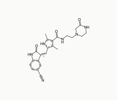 Cc1[nH]c(/C=C2\C(=O)Nc3ccc(C#N)cc32)c(C)c1C(=O)NCCN1CCNC(=O)C1